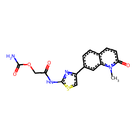 Cn1c(=O)ccc2ccc(-c3csc(NC(=O)COC(N)=O)n3)cc21